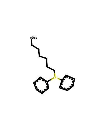 CCCCCCCCCCCCCCCC[SH](c1ccccc1)c1ccccc1